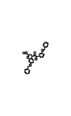 O=C(O)CC(NC(=O)c1cccc(OCc2ccccc2)c1)c1ccc(OCc2ccccc2)cc1